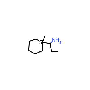 CCC(N)[Si]1(C)CCCCC1